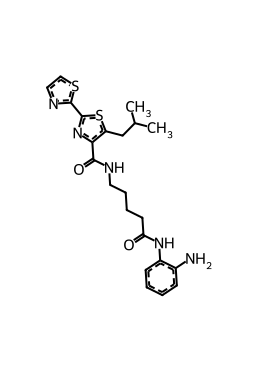 CC(C)Cc1sc(-c2nccs2)nc1C(=O)NCCCCC(=O)Nc1ccccc1N